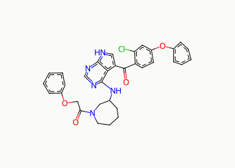 O=C(c1ccc(Oc2ccccc2)cc1Cl)c1c[nH]c2ncnc(NC3CCCCN(C(=O)COc4ccccc4)C3)c12